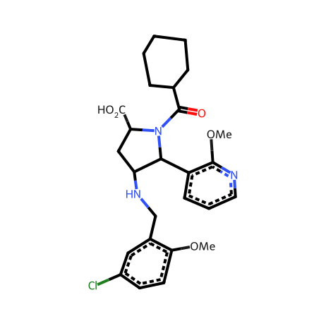 COc1ccc(Cl)cc1CNC1CC(C(=O)O)N(C(=O)C2CCCCC2)C1c1cccnc1OC